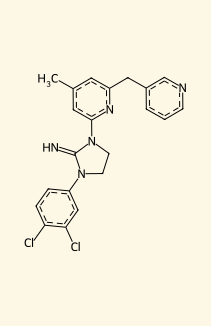 Cc1cc(Cc2cccnc2)nc(N2CCN(c3ccc(Cl)c(Cl)c3)C2=N)c1